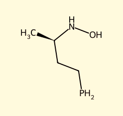 C[C@H](CCP)NO